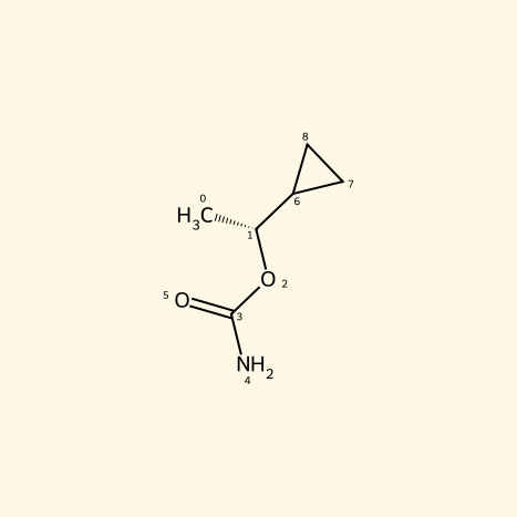 C[C@@H](OC(N)=O)C1CC1